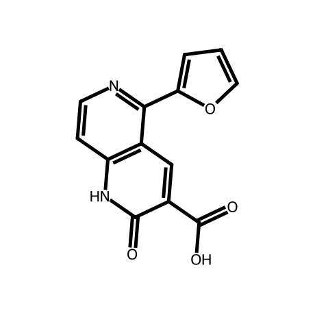 O=C(O)c1cc2c(-c3ccco3)nccc2[nH]c1=O